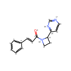 O=C(/C=C/c1ccccc1)N1CCC1c1ccncn1